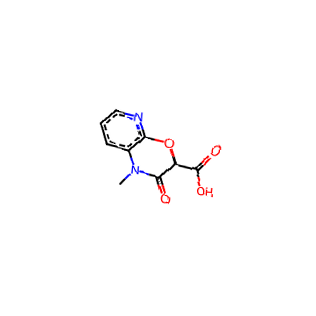 CN1C(=O)C(C(=O)O)Oc2ncccc21